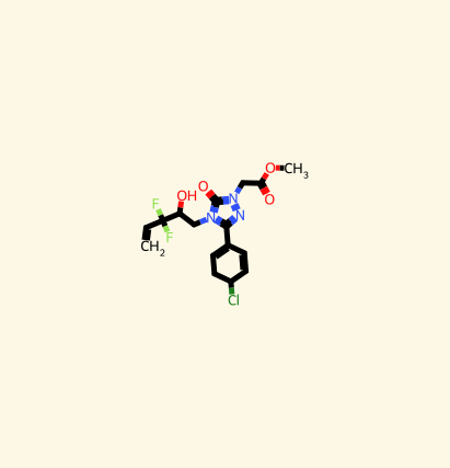 C=CC(F)(F)C(O)Cn1c(C2=CCC(Cl)C=C2)nn(CC(=O)OC)c1=O